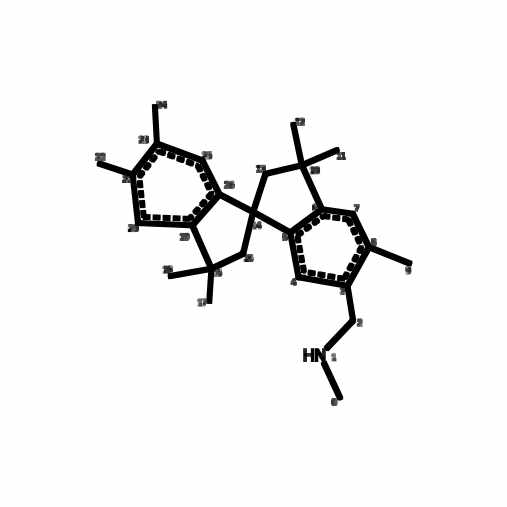 CNCc1cc2c(cc1C)C(C)(C)CC21CC(C)(C)c2cc(C)c(C)cc21